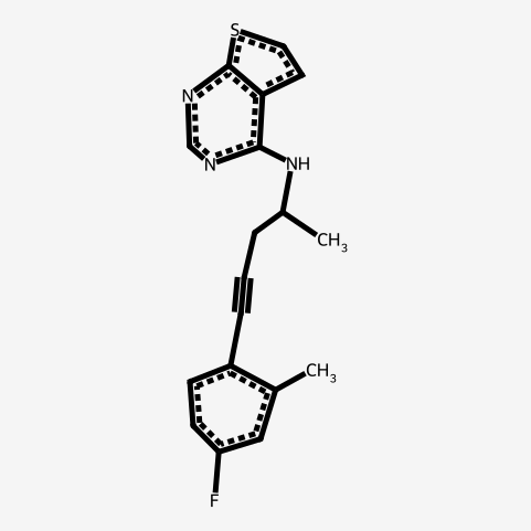 Cc1cc(F)ccc1C#CCC(C)Nc1ncnc2sccc12